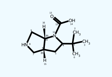 CC(C)(C)C1C[C@@H]2CNC[C@@H]2N1C(=O)O